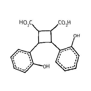 O=C(O)C1C(C(=O)O)C(c2ccccc2O)C1c1ccccc1O